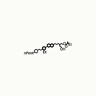 C=C(CC)C(=O)OCCC(CCO)CCCc1ccc2cc(-c3ccc(CCC4CCC(CCCCC)CC4)c(CC)c3)ccc2c1